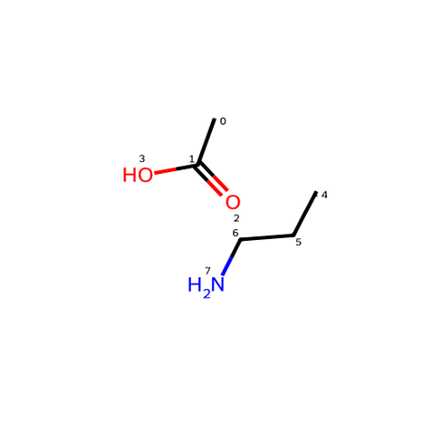 CC(=O)O.[CH2]CCN